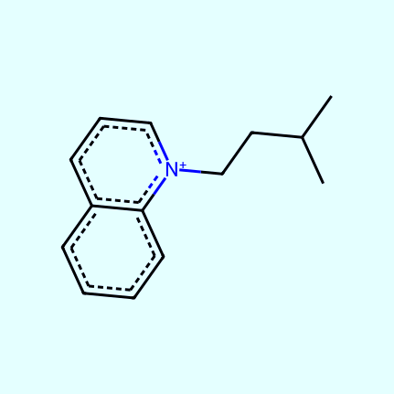 CC(C)CC[n+]1cccc2ccccc21